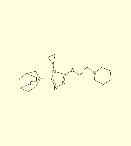 C1CCN(CCOc2nnc(C34CC5CC(CC3C5)C4)n2C2CC2)CC1